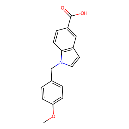 COc1ccc(Cn2ccc3cc(C(=O)O)ccc32)cc1